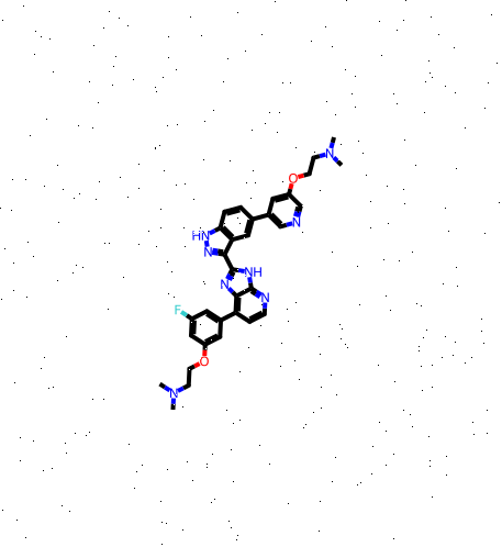 CN(C)CCOc1cncc(-c2ccc3[nH]nc(-c4nc5c(-c6cc(F)cc(OCCN(C)C)c6)ccnc5[nH]4)c3c2)c1